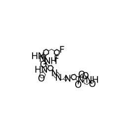 O=C1CC[C@@H](N2C(=O)c3ccc(N4CC(CN5CCN(c6ccc(C(=O)Nc7n[nH]c8ccc(Cc9cc(F)cc(F)c9)cc78)c(NC7CCOCC7)c6)CC5)C4)cc3C2=O)C(=O)N1